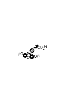 CC(C)(CCN1CCN(C2=Nc3cc(O)ccc3Oc3ccc(O)cc32)CC1)C(=O)O